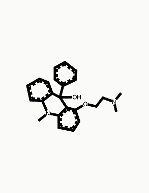 CN(C)CCOc1cccc2c1C(O)(c1ccccc1)c1ccccc1N2C